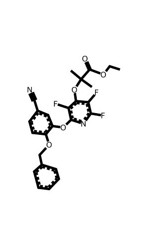 CCOC(=O)C(C)(C)Oc1c(F)c(F)nc(Oc2cc(C#N)ccc2OCc2ccccc2)c1F